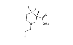 C=CCN1CCC(F)(F)[C@](C)(C(=O)OC)C1